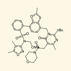 CCCCc1nc(C)c(CC(=O)N2CCOCC2)c(=O)n1Cc1ccc(-c2ccccc2S(=O)(=O)N(COC)c2noc(C)c2C)c2oc(C)cc12